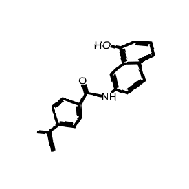 C=C(C)c1ccc(C(=O)Nc2ccc3cccc(O)c3c2)cc1